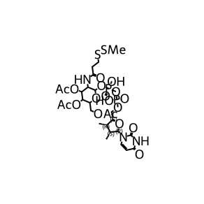 CSSCCC(=O)NC1C(OP(=O)(O)OP(=O)(O)OC[C@H]2O[C@@H](n3ccc(=O)[nH]c3=O)[C@@H](C)[C@H]2C)OC(COC(C)=O)C(OC(C)=O)C1OC(C)=O